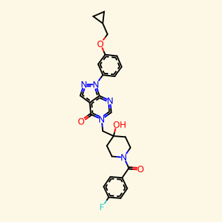 O=C(c1ccc(F)cc1)N1CCC(O)(Cn2cnc3c(cnn3-c3cccc(OCC4CC4)c3)c2=O)CC1